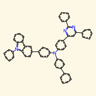 c1ccc(-c2ccc(N(c3ccc(-c4ccc5c(c4)c4ccccc4n5-c4ccccc4)cc3)c3ccc(-c4cc(-c5ccccc5)nc(-c5ccccc5)n4)cc3)cc2)cc1